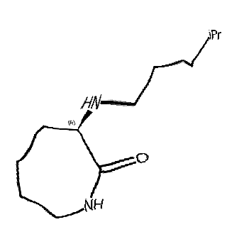 CC(C)CCCN[C@@H]1CCCCNC1=O